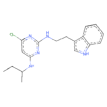 CCC(C)Nc1cc(Cl)nc(NCCc2c[nH]c3ccccc23)n1